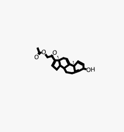 CC(=O)OCC(=O)C1=CCC2C3CCC4=CC(O)C=C[C@]4(C)C3=CC[C@]12C